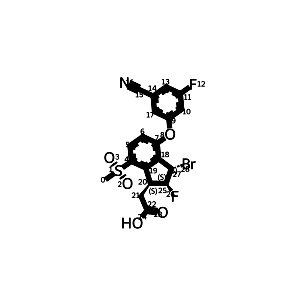 CS(=O)(=O)c1ccc(Oc2cc(F)cc(C#N)c2)c2c1[C@H](CC(=O)O)[C@H](F)[C@H]2Br